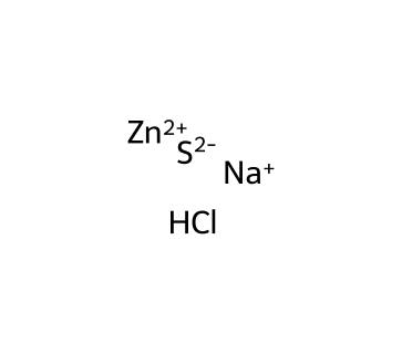 Cl.[Na+].[S-2].[Zn+2]